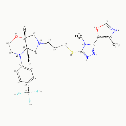 Cc1ncoc1-c1nnc(SCCCN2C[C@H]3OCCN(c4ccc(C(F)(F)F)cc4)[C@H]3C2)n1C